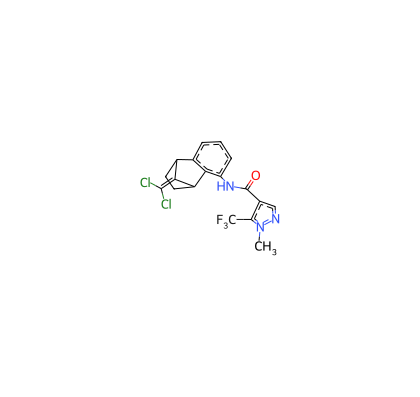 Cn1ncc(C(=O)Nc2cccc3c2C2CCC3C2=C(Cl)Cl)c1C(F)(F)F